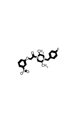 C[C@@H]1CN(C(=O)COc2cccc([N+](=O)[O-])c2)[C@@H](C)CN1Cc1ccc(F)cc1